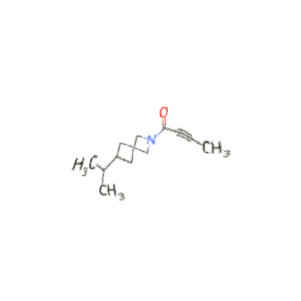 CC#CC(=O)N1CC2(CC(C(C)C)C2)C1